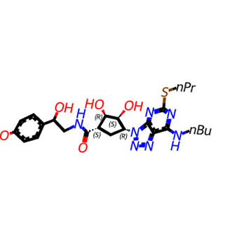 CCCCNc1nc(SCCC)nc2c1nnn2[C@@H]1C[C@H](C(=O)NCC(O)c2ccc(O)cc2)[C@@H](O)[C@H]1O